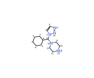 c1cn(C(C2CCCCC2)N2CCNCC2)nn1